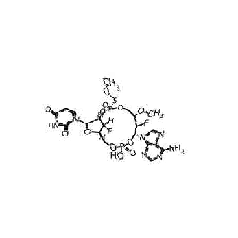 COS[P@]1(=O)OC[C@@H](OC)[C@@H](F)[C@H](n2cnc3c(N)ncnc32)OP(=O)(O)OC[C@H]2O[C@@H](n3ccc(=O)[nH]c3=O)[C@H](O1)[C@@H]2F